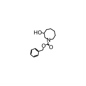 O=C(OCc1ccccc1)N1CCCCCC(O)C1